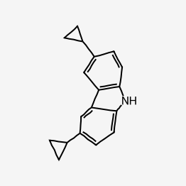 c1cc2[nH]c3ccc(C4CC4)cc3c2cc1C1CC1